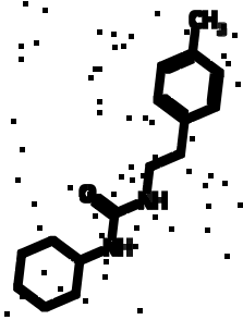 Cc1ccc(CCNC(=O)NC2CCCCC2)cc1